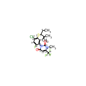 C=C(C)C(CC)Sc1cc(-n2c(=O)cc(C(F)(F)F)n(C)c2=O)c(F)cc1Cl